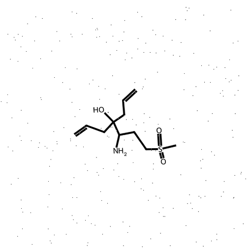 C=CCC(O)(CC=C)C(N)CCS(C)(=O)=O